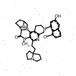 CN1C(=O)C2C3CCC(CN2c2c4c(nc(CCC56CCCN5CCC6)c21)CN(c1cc(O)cc2cccc(Cl)c12)CC4)N3